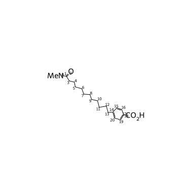 CNC(=O)CCCCCCCCCCCc1ccc(C(=O)O)cc1